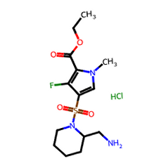 CCOC(=O)c1c(F)c(S(=O)(=O)N2CCCCC2CN)cn1C.Cl